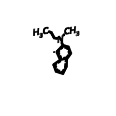 CCCN(C)c1[c]c2ccccc2cc1